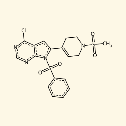 CS(=O)(=O)N1CC=C(c2cc3c(Cl)ncnc3n2S(=O)(=O)c2ccccc2)CC1